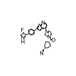 N#C[C@H]1CC[C@H](C(=O)N2CCN(c3ccnn4cc(-c5ccc(C6CNCC6F)cc5)cc34)CC2)CC1